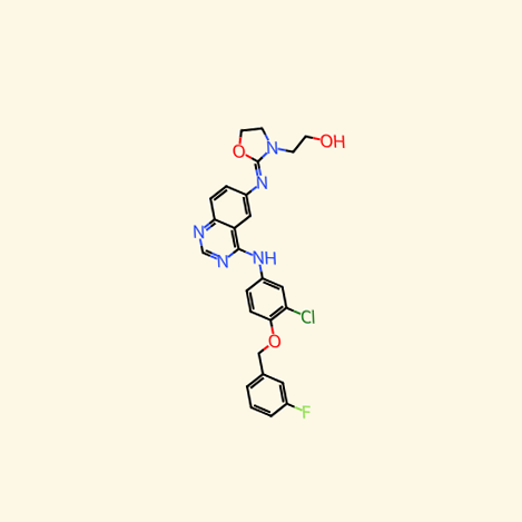 OCCN1CCO/C1=N\c1ccc2ncnc(Nc3ccc(OCc4cccc(F)c4)c(Cl)c3)c2c1